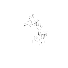 COC(=O)c1cc(F)nc(C#Cc2ccnc(NC(=O)[C@H](CC(F)F)c3ccc(F)cc3)c2)c1NC(=O)C(F)(F)F